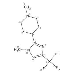 CN1CCC(c2nc(C(F)(F)F)cn2C)CC1